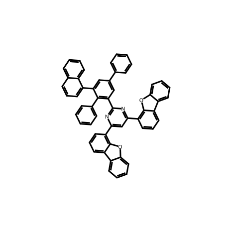 c1ccc(-c2cc(-c3nc(-c4cccc5c4oc4ccccc45)cc(-c4cccc5c4oc4ccccc45)n3)c(-c3ccccc3)c(-c3cccc4ccccc34)c2)cc1